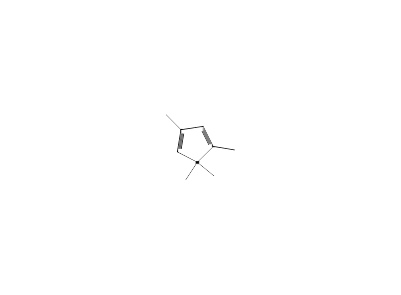 CC1=CC(C)(C)C(C)=C1